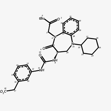 CC(C)(C)C(=O)CN1C(=O)[C@H](NC(=O)Nc2cccc(CC(=O)O)c2)CN(C2CCCCC2)c2ccccc21